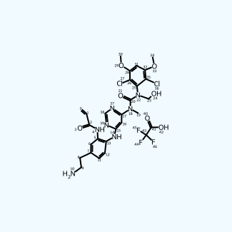 C=CC(=O)Nc1cc(CCN)ccc1Nc1cc(N(C)C(=O)N(CO)c2c(Cl)c(OC)cc(OC)c2Cl)ncn1.O=C(O)C(F)(F)F